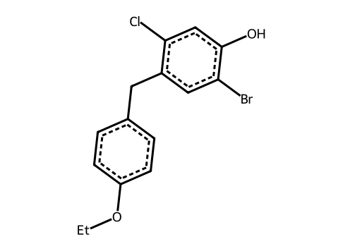 CCOc1ccc(Cc2cc(Br)c(O)cc2Cl)cc1